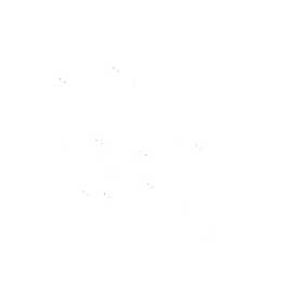 O=C(Nc1cncc(-c2ccc3[nH]nc(-c4nc5c(-c6ccccc6F)cncc5[nH]4)c3n2)c1)C1CCCC1